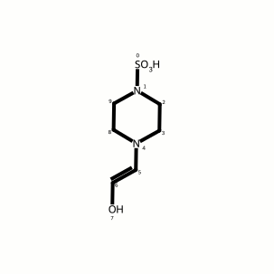 O=S(=O)(O)N1CCN(C=CO)CC1